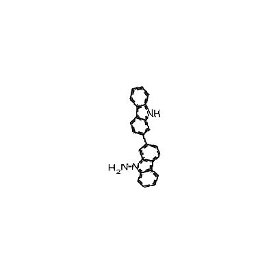 Nn1c2ccccc2c2ccc(-c3ccc4c(c3)[nH]c3ccccc34)cc21